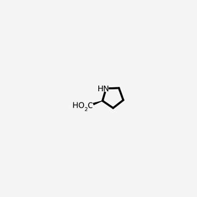 O=[14C](O)[C@@H]1CCCN1